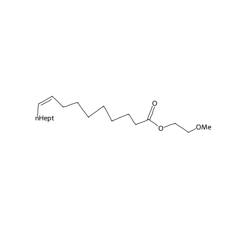 CCCCCCC/C=C\CCCCCCCC(=O)OCCOC